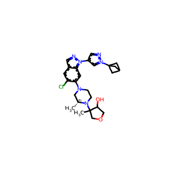 C[C@@H]1CN(c2cc3c(cnn3-c3cnn(C45CC(C4)C5)c3)cc2Cl)CCN1C1(C)COCC1O